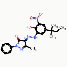 CCC(C)(C)c1cc(N/N=C2/C(=O)N(c3ccccc3)N=C2C)c(O)c([N+](=O)[O-])c1